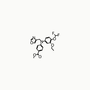 CCOc1cc(N(Cc2cocn2)c2ccc(C(=O)OC)cc2)ccc1OC(F)F